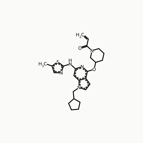 C=CC(=O)N1CCCC(Oc2nc(Nc3ncc(C)s3)cc3c2ccn3CC2CCCC2)C1